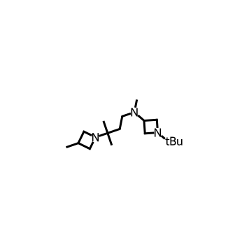 CC1CN(C(C)(C)CCN(C)C2CN(C(C)(C)C)C2)C1